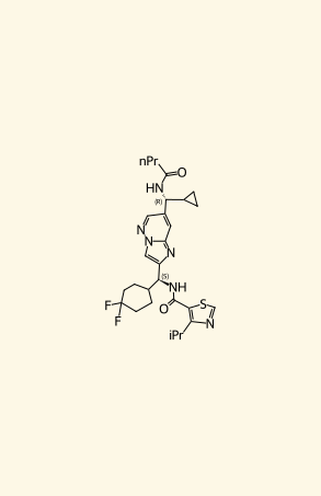 CCCC(=O)N[C@@H](c1cnn2cc([C@@H](NC(=O)c3scnc3C(C)C)C3CCC(F)(F)CC3)nc2c1)C1CC1